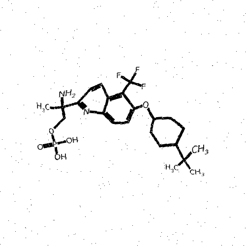 CC(N)(COP(=O)(O)O)c1ccc2c(C(F)(F)F)c(OC3CCC(C(C)(C)C)CC3)ccc2n1